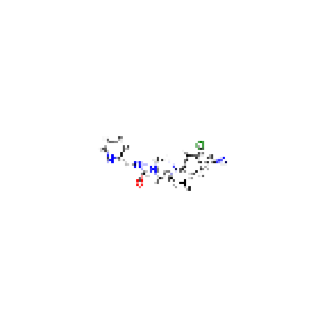 C[C@H]1CN(C(=O)NCc2ccccn2)CCN1c1ccc(C#N)c(Cl)c1